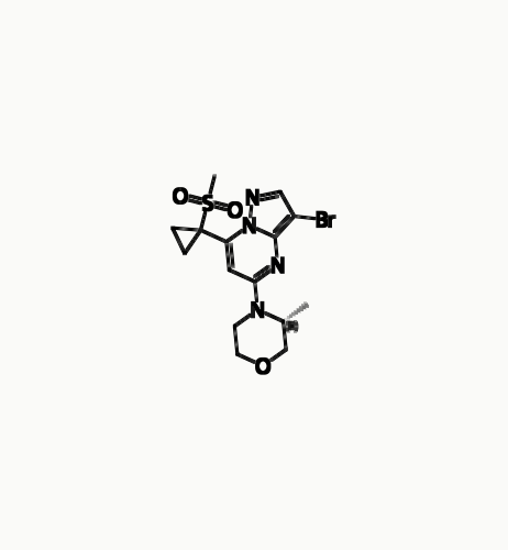 C[C@@H]1COCCN1c1cc(C2(S(C)(=O)=O)CC2)n2ncc(Br)c2n1